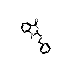 Cn1c(SCc2ccccc2)nc(=O)c2ccccc21